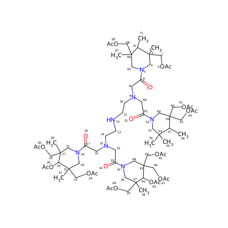 CC(=O)OCC1(C)CN(C(=O)CN(CCNCCN(CC(=O)N2CC(C)(COC(C)=O)C(OC(C)=O)C(C)(COC(C)=O)C2)CC(=O)N2CC(C)(COC(C)=O)C(OC(C)=O)C(COC(C)=O)(COC(C)=O)C2)CC(=O)N2CC(C)(C)C(C)C(COC(C)=O)(COC(C)=O)C2)CC(C)(COC(C)=O)C1C